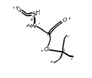 CC(C)(C)OC(=O)N[SH]=O